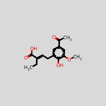 CC/C(=C\Cc1cc(C(C)=O)cc(OC)c1O)C(=O)O